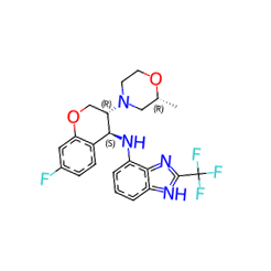 C[C@@H]1CN([C@H]2COc3cc(F)ccc3[C@@H]2Nc2cccc3[nH]c(C(F)(F)F)nc23)CCO1